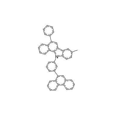 Cc1ccc2c(c1)c1cc(-c3ccccc3)c3ccccc3c1n2-c1cccc(-c2cc3ccccc3c3ccccc23)c1